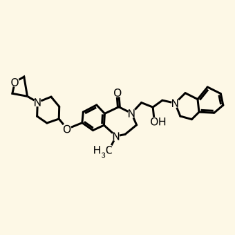 CN1CCN(CC(O)CN2CCc3ccccc3C2)C(=O)c2ccc(OC3CCN(C4COC4)CC3)cc21